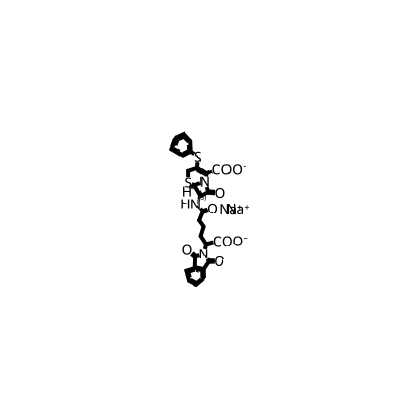 O=C(CCCC(C(=O)[O-])N1C(=O)c2ccccc2C1=O)N[C@H]1C(=O)N2C(C(=O)[O-])=C(Sc3ccccc3)CS[C@@H]12.[Na+].[Na+]